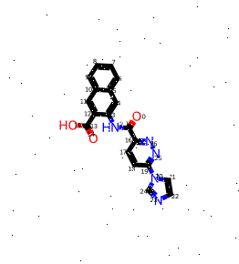 O=C(Nc1cc2ccccc2cc1C(=O)O)c1ccc(-n2ccnc2)nn1